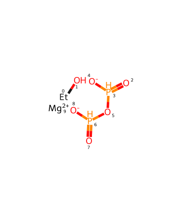 CCO.O=[PH]([O-])O[PH](=O)[O-].[Mg+2]